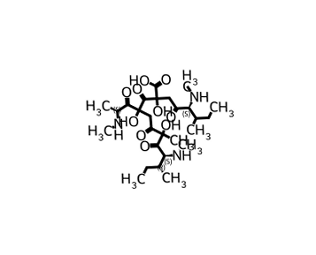 CCC(C)[C@H](NC)C(=O)CC(O)(C(=O)O)C(=O)C(O)(CC(=O)C(C)(O)C(=O)[C@@H](NC)[C@H](C)CC)C(=O)[C@H](C)NC